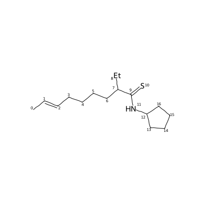 CC=CCCCCC(CC)C(=S)NC1CCCC1